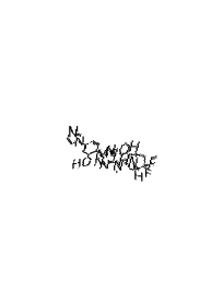 CO[C@H]1[C@H]2CC(F)(F)[C@@H](C[C@@H]1N(C)c1cnc(-c3ccc(-n4ccnc4)cc3O)nn1)N2